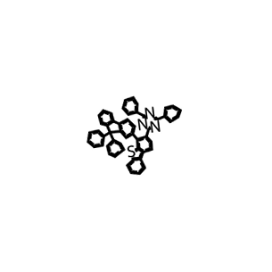 c1ccc(-c2nc(-c3ccccc3)nc(-c3ccc4c(sc5ccccc54)c3-c3ccc4c(c3)C(c3ccccc3)(c3ccccc3)c3ccccc3-4)n2)cc1